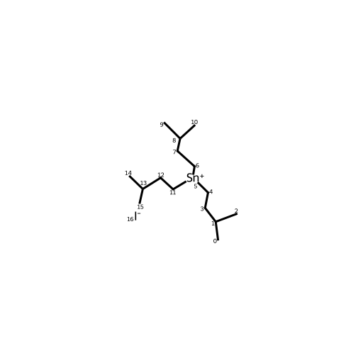 CC(C)C[CH2][Sn+]([CH2]CC(C)C)[CH2]CC(C)C.[I-]